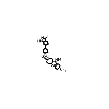 N=C(C1=CC=C(C(F)(F)F)C=C=C1)[C@@H]1CC/C(=C\S(=O)(=O)c2ccc(-c3ccc4c(I)n[nH]c4c3)cc2)CC[C@@H]1O